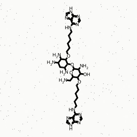 NCC1OC(OC2C(N)CC(N)C(N)C2OCCCCCCNc2ncnc3[nH]cnc23)C(N)C(O)C1OCCCCCCNc1ncnc2[nH]cnc12